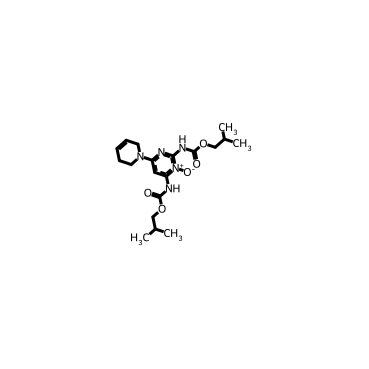 CC(C)COC(=O)Nc1cc(N2CC=CCC2)nc(NC(=O)OCC(C)C)[n+]1[O-]